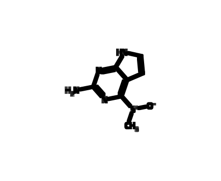 C[S+]([O-])c1nc(N)nc2[nH]ccc12